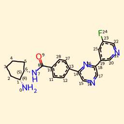 N[C@@H]1CCCC[C@@H]1NC(=O)c1ccc(-c2cncc(-c3cncc(F)c3)n2)cc1